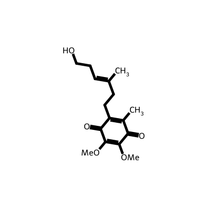 COC1=C(OC)C(=O)C(CCC(C)=CCCO)=C(C)C1=O